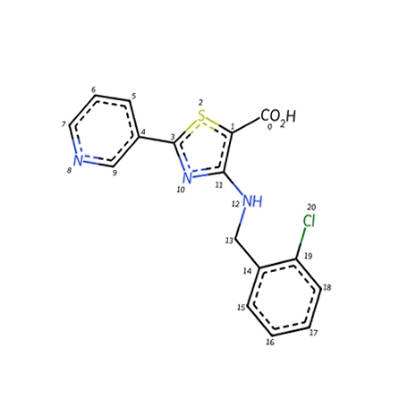 O=C(O)c1sc(-c2cccnc2)nc1NCc1ccccc1Cl